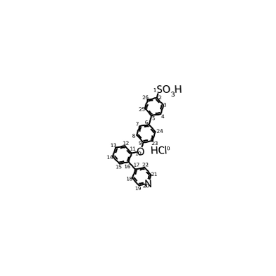 Cl.O=S(=O)(O)c1ccc(-c2ccc(Oc3ccccc3-c3ccncc3)cc2)cc1